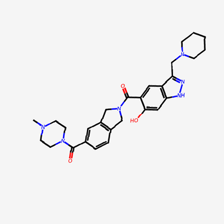 CN1CCN(C(=O)c2ccc3c(c2)CN(C(=O)c2cc4c(CN5CCCCC5)n[nH]c4cc2O)C3)CC1